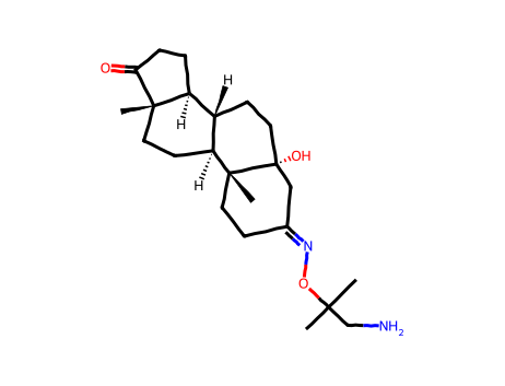 CC(C)(CN)ON=C1CC[C@]2(C)[C@H]3CC[C@]4(C)C(=O)CC[C@H]4[C@@H]3CC[C@@]2(O)C1